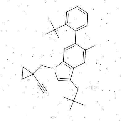 N#CC1(Cn2cc([C@H](N)C(F)(F)F)c3cc(F)c(-c4ccccc4C(F)(F)F)cc32)CC1